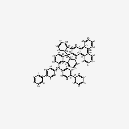 c1ccc(-c2ccc(N(c3ccc(-c4ccccc4)cc3)c3cccc4c3-c3ccccc3C43c4ccccc4-c4cc5c6ccccc6c6ccccc6c5cc43)cc2)cc1